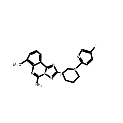 COc1cccc2c1nc(N)n1nc([C@@H]3CCCN(c4ccc(F)cn4)C3)nc21